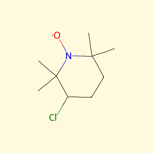 CC1(C)CCC(Cl)C(C)(C)N1[O]